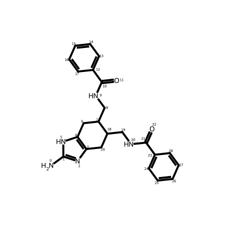 Nc1nc2c([nH]1)CC(CNC(=O)c1ccccc1)C(CNC(=O)c1ccccc1)C2